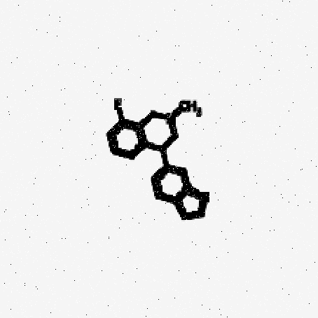 CN1Cc2c(F)cccc2C(c2ccc3ccsc3c2)C1